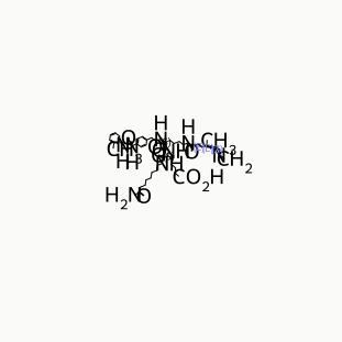 C=N\C=C/C=C(C)/C=C/C(=O)NCCCC[C@H](NC(=O)Cc1ccc(NC(=O)Nc2ccccc2C)cc1)C(=O)N[C@@H](CCCCC(=O)O)C(=O)NCCCCCCCC(N)=O